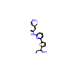 C=C(/C=C(C)\C=C/N)Nc1cccc(-c2ccc(C(=N)CC)s2)n1